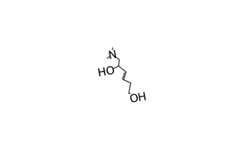 CN(C)CC(O)/C=C/CCO